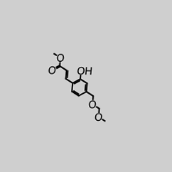 COCOCc1ccc(C=CC(=O)OC)c(O)c1